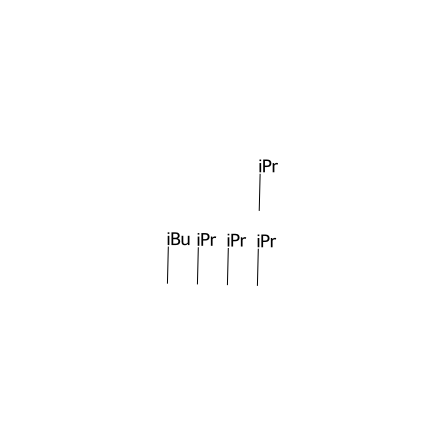 CC(C)C.CC(C)C.CC(C)C.CC(C)C.CCC(C)C